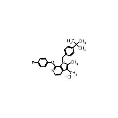 Cc1c(C)n(Cc2ccc(C(C)(C)C)cc2)c2c(Oc3ccc(F)cc3)nccc12.Cl